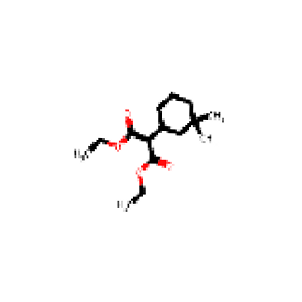 CCOC(=O)C(C(=O)OCC)C1CCCC(C)(C)C1